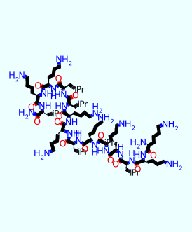 CC(C)C[C@@H](NC(=O)[C@@H](CCCCN)NC(=O)[C@@H](CCCCN)NC(=O)[C@@H](CC(C)C)NC(=O)[C@@H](CC(C)C)NC(=O)[C@@H](CCCCN)NC(=O)[C@@H](CCCCN)NC(=O)[C@@H](CC(C)C)NC(=O)[C@@H](CCCCN)NC(=O)[C@@H](CCCCN)NC(=O)[C@@H](CC(C)C)NC(=O)[C@@H](CC(C)C)NC(=O)[C@@H](CCCCN)NC(=O)[C@H](N)CCCCN)C(N)=O